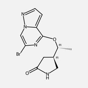 C[C@@H](Oc1nc(Br)cn2nccc12)[C@H]1CNC(=O)C1